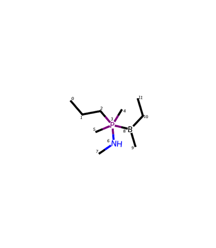 CCCP(C)(C)(NC)B(C)CC